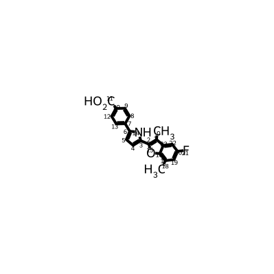 Cc1c(-c2ccc(-c3ccc(C(=O)O)cc3)[nH]2)oc2c(C)cc(F)cc12